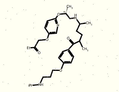 CCC(=O)COc1ccc(O[C@H](C)CNC(C)CCC(C)C(=O)c2ccc(OCCCNC(C)C)cc2)nc1